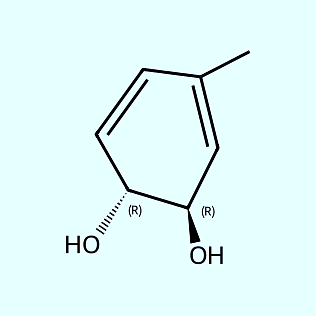 CC1=C[C@@H](O)[C@H](O)C=C1